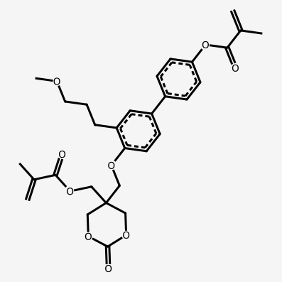 C=C(C)C(=O)OCC1(COc2ccc(-c3ccc(OC(=O)C(=C)C)cc3)cc2CCCOC)COC(=O)OC1